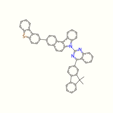 CC1(C)c2ccccc2-c2ccc(-c3nc(-n4c5ccccc5c5c6ccc(-c7ccc8sc9ccccc9c8c7)cc6ccc54)nc4ccccc34)cc21